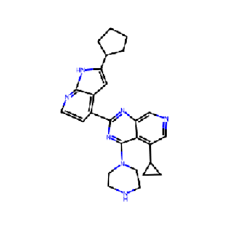 c1cc(-c2nc(N3CCNCC3)c3c(C4CC4)cncc3n2)c2cc(C3CCCC3)[nH]c2n1